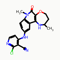 CC1CCOc2c(c3cc(Nc4ccnc(Cl)c4C#N)ccc3n(C)c2=O)N1